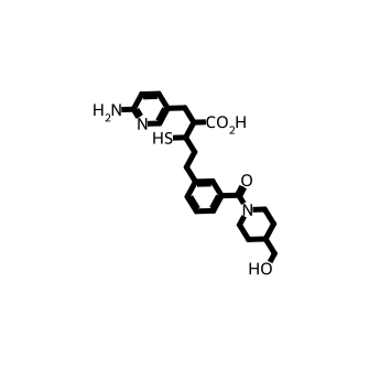 Nc1ccc(CC(C(=O)O)C(S)CCc2cccc(C(=O)N3CCC(CO)CC3)c2)cn1